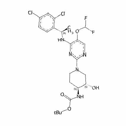 C[C@@H](Nc1nc(N2CC[C@H](NC(=O)OC(C)(C)C)[C@@H](O)C2)ncc1OC(F)F)c1ccc(Cl)cc1Cl